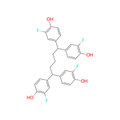 Oc1ccc(C(CCCC(c2ccc(O)c(F)c2)c2ccc(O)c(F)c2)c2ccc(O)c(F)c2)cc1F